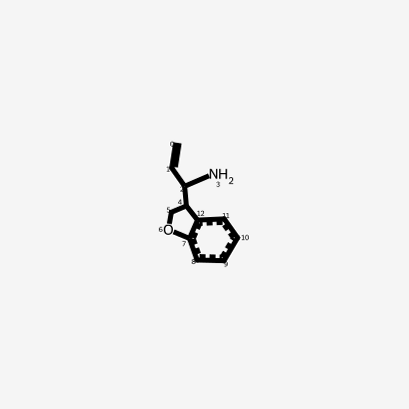 C=CC(N)C1COc2ccccc21